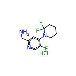 Cl.NCc1cc(N2CCCCC2(F)F)c(F)cn1